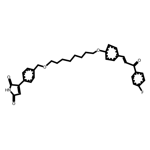 O=C1C=C(c2ccc(COCCCCCCCCOc3ccc(C=CC(=O)c4ccc(F)cc4)cc3)cc2)C(=O)N1